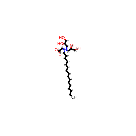 CCCCCCCCCCCCCCCC[N+](CC(=O)[O-])(CC(O)CO)CC(O)CO